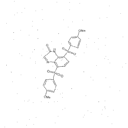 COc1ccc(S(=O)(=O)c2ccc(S(=O)(=O)c3ccc(OC)cc3)c3[nH]c(=O)cnc23)cc1